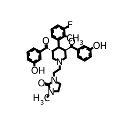 Cc1c(F)cccc1C1[C@@H](C(=O)c2cccc(O)c2)CN(CCN2CCN(C)C2=O)C[C@@H]1C(=O)c1cccc(O)c1